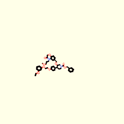 CCOc1cccc(OCCOc2ccc(C3CCN(C(=O)OCc4ccccc4)CC3OCc3ccc4c(c3)N(CCCOC)C(=O)CO4)cc2)c1